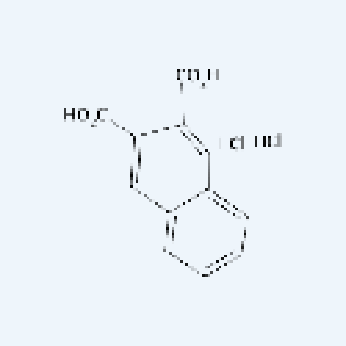 Cl.Cl.O=C(O)c1cc2ccccc2cc1C(=O)O